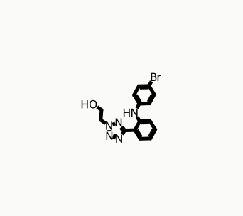 OCCn1nnc(-c2ccccc2Nc2ccc(Br)cc2)n1